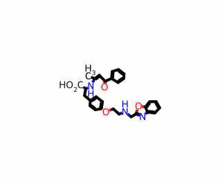 C/C(=C/C(=O)c1ccccc1)NC(Cc1ccc(OCCNCc2nc3ccccc3o2)cc1)C(=O)O